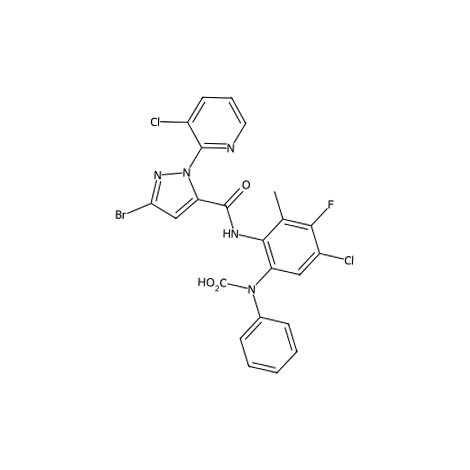 Cc1c(F)c(Cl)cc(N(C(=O)O)c2ccccc2)c1NC(=O)c1cc(Br)nn1-c1ncccc1Cl